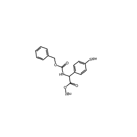 CCCCOC(=O)C(NC(=O)OCc1ccccc1)c1ccc(SC)cc1